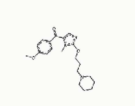 COc1ccc(C(=O)c2cnc(OCCCN3CCCCC3)n2C)cc1